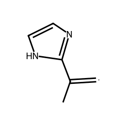 [CH]=C(C)c1ncc[nH]1